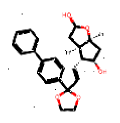 OC1C[C@@H]2[C@@H](/C=C/C3(c4ccc(-c5ccccc5)cc4)OCCO3)[C@H](O)C[C@@H]2O1